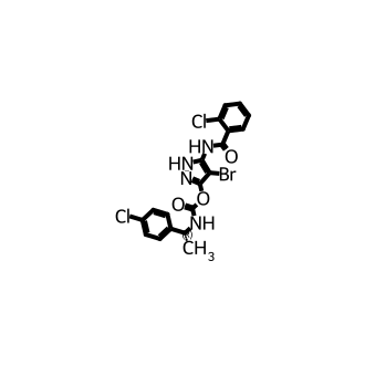 C[C@@H](NC(=O)Oc1n[nH]c(NC(=O)c2ccccc2Cl)c1Br)c1ccc(Cl)cc1